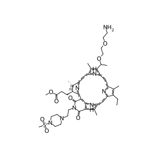 CCC1=C(C)c2cc3[nH]c(cc4nc(c5c6[nH]c(cc1n2)c(C)c6C(=O)N(CCN1CCN(S(C)(=O)=O)CC1)C5=O)[C@@H](CCC(=O)OC)[C@@H]4C)c(C)c3C(C)OCCOCCN